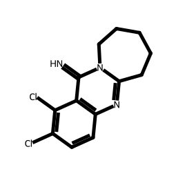 N=c1c2c(Cl)c(Cl)ccc2nc2n1CCCCC2